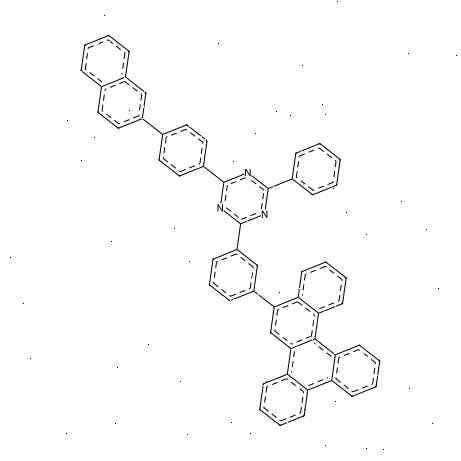 c1ccc(-c2nc(-c3ccc(-c4ccc5ccccc5c4)cc3)nc(-c3cccc(-c4cc5c6ccccc6c6ccccc6c5c5ccccc45)c3)n2)cc1